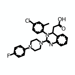 Cc1cc(Cl)ccc1N1C(N2CCN(c3ccc(F)cc3)CC2)=Nc2ccccc2C1CC(=O)O